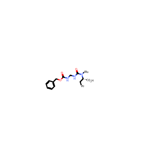 CC(C)C[C@@H](C(=O)O)N(C(=O)NCNC(=O)OCc1ccccc1)C(C)(C)C